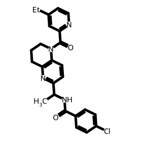 CCc1ccnc(C(=O)N2CCCc3nc(C(C)NC(=O)c4ccc(Cl)cc4)ccc32)c1